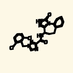 O=C(NC1CCc2ccccc2-n2c1n[nH]c2=O)c1ncn(Cc2c(Cl)cccc2Cl)n1